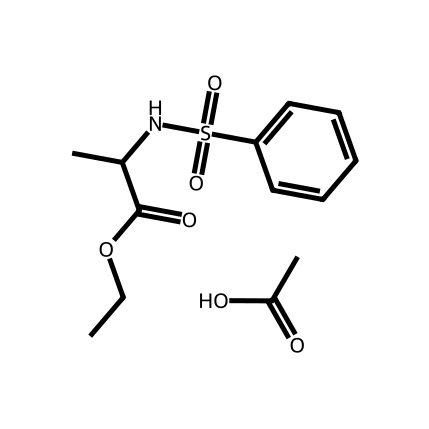 CC(=O)O.CCOC(=O)C(C)NS(=O)(=O)c1ccccc1